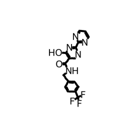 O=C(NCc1ccc(C(F)(F)F)cc1)c1cnc(-c2ncccn2)nc1O